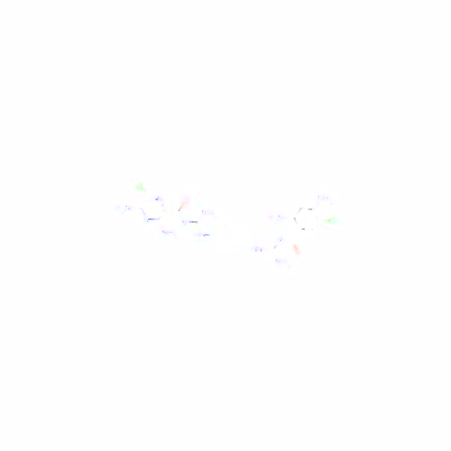 N/C(=N\C(=O)c1cc(Cl)c(N)cc1N)NC[C@H]1CC[C@H](N/C(N)=N/C(=O)c2nc(Cl)c(N)nc2N)CC1